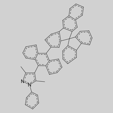 Cc1nn(-c2ccccc2)c(C)c1-c1c2ccccc2c(-c2ccc3c(c2)C2(c4ccccc4-c4ccccc42)c2cc4ccccc4cc2-3)c2ccccc12